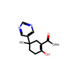 COC(=O)C1=C(O)CCC(C#N)(c2cncnc2)C1